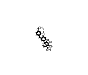 COc1ccc(Cc2cc([C@]34OC[C@](CO)(O3)[C@@H](O)[C@H](O)[C@@H]4O)ccc2C)cc1